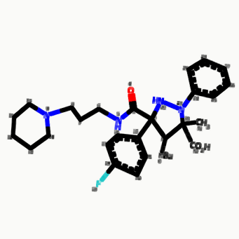 CCCCC1C(C(=O)NCCCN2CCCCC2)(c2ccc(F)cc2)NN(c2ccccc2)C1(C)C(=O)O